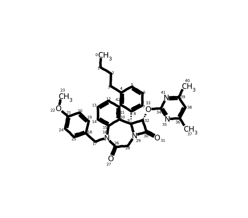 CCCCc1cccc([C@@]23c4ccccc4N(Cc4ccc(OC)cc4)C(=O)CN2C(=O)[C@H]3Oc2nc(C)cc(C)n2)c1